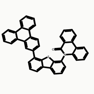 O=c1c2ccccc2c2ccccc2n1-c1cccc2c1sc1c(-c3ccc4c5ccccc5c5ccccc5c4c3)cccc12